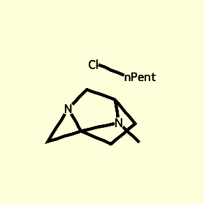 CCCCCCl.CN1C2CCC13CN3C2